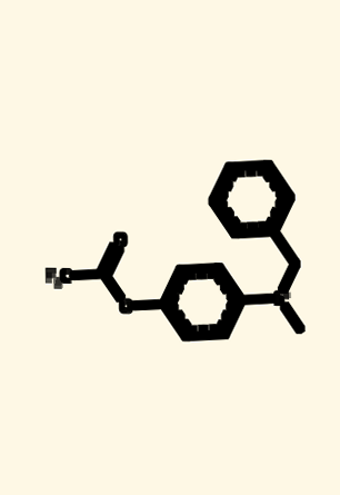 C[S+](Cc1ccccc1)c1ccc(OC(=O)C(F)(F)F)cc1